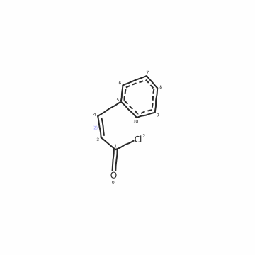 O=C(Cl)/C=C\c1ccccc1